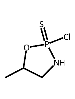 CC1CNP(=S)(Cl)O1